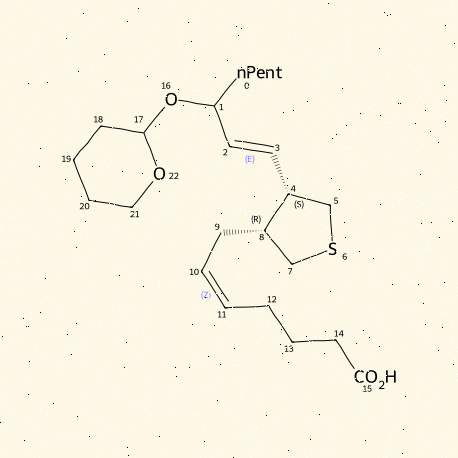 CCCCCC(/C=C/[C@@H]1CSC[C@@H]1C/C=C\CCCC(=O)O)OC1CCCCO1